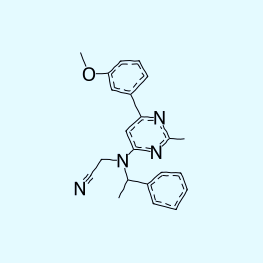 COc1cccc(-c2cc(N(CC#N)C(C)c3ccccc3)nc(C)n2)c1